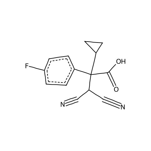 N#CC(C#N)C(C(=O)O)(c1ccc(F)cc1)C1CC1